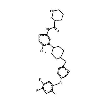 Cc1ccc(NC(=O)C2CCCNC2)cc1C1CCN(Cc2ccc(Oc3cc(F)c(F)cc3F)cc2)CC1